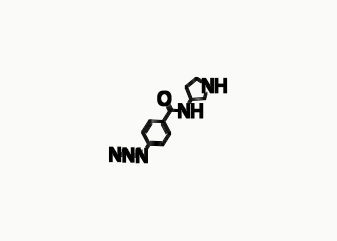 [N-]=[N+]=Nc1ccc(C(=O)NC2CCNC2)cc1